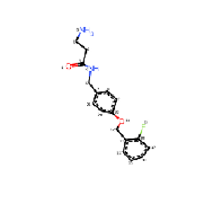 NCCC(=O)NCc1ccc(OCc2ccccc2F)cc1